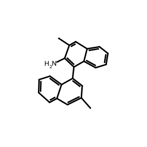 Cc1cc(-c2c(N)c(C)cc3ccccc23)c2ccccc2c1